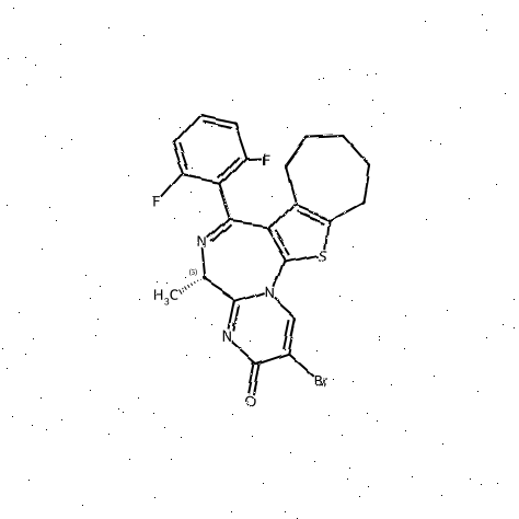 C[C@@H]1N=C(c2c(F)cccc2F)c2c(sc3c2CCCCC3)-n2cc(Br)c(=O)nc21